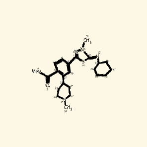 CNC(=O)c1ccc(-c2nn(C)c(=NC3CCCCC3)s2)cc1C1CCN(C)CC1